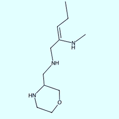 CC/C=C(/CNCC1COCCN1)NC